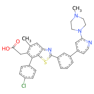 Cc1cc2nc(-c3cccc(-c4ccnc(N5CCN(C)CC5)c4)c3)sc2c(-c2ccc(Cl)cc2)c1CC(=O)O